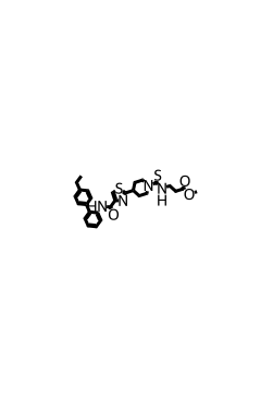 CCc1ccc(-c2ccccc2NC(=O)c2csc(C3CCN(C(=S)NCCC(=O)OC)CC3)n2)cc1